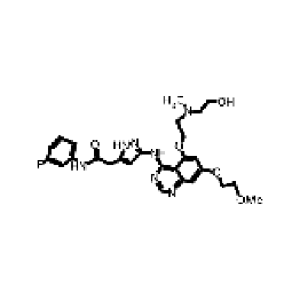 COCCOc1cc(OCCN(C)CCO)c2c(Nc3cc(CC(=O)Nc4cccc(F)c4)[nH]n3)ncnc2c1